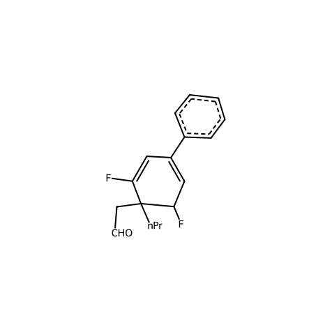 CCCC1(CC=O)C(F)=CC(c2ccccc2)=CC1F